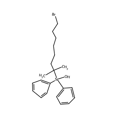 CC(C)(CCCCCCBr)[Si](O)(c1ccccc1)c1ccccc1